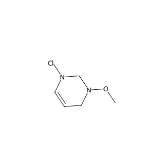 CON1CC=CN(Cl)C1